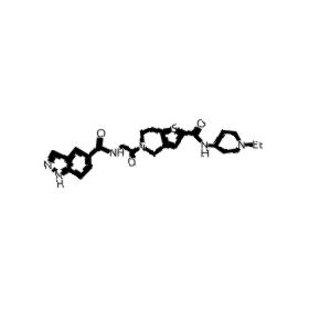 CCN1CCC(NC(=O)c2cc3c(s2)CCN(C(=O)CNC(=O)c2ccc4[nH]ncc4c2)C3)CC1